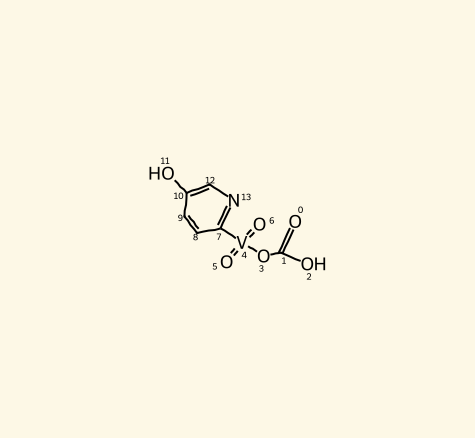 O=C(O)[O][V](=[O])(=[O])[c]1ccc(O)cn1